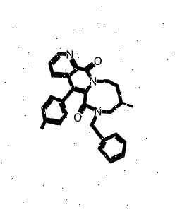 Cc1ccc(-c2c3n(c(=O)c4ncccc24)CC[C@@H](C)CN(Cc2ccccc2)C3=O)cc1